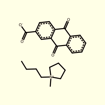 CCCC[N+]1(C)CCCC1.O=C([O-])c1ccc2c(c1)C(=O)c1ccccc1C2=O